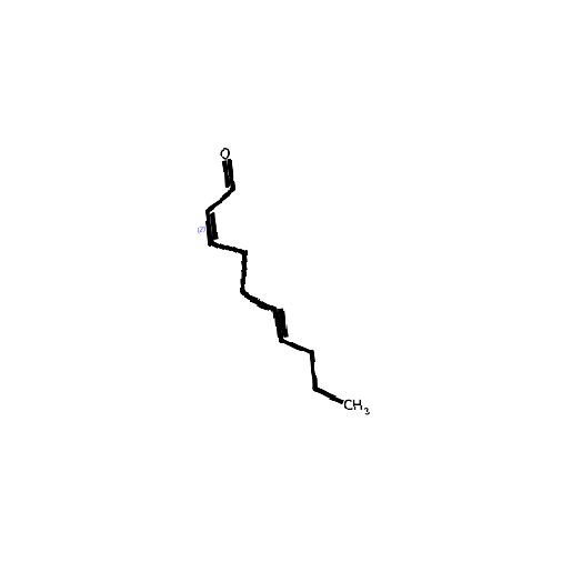 CCCC=CCC/C=C\C=O